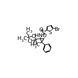 CC(C)(C)OC(=O)[C@]1(NS(=O)(=O)c2ccc(Br)s2)CC1(C)c1ccccc1